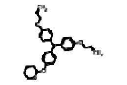 C=CCOc1ccc(C(c2ccc(OCC=C)cc2)c2ccc(OC3CCCCO3)cc2)cc1